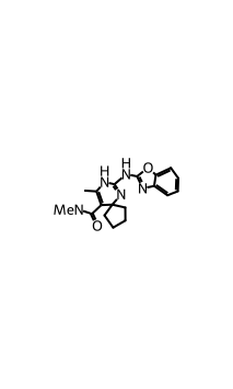 CNC(=O)C1=C(C)NC(Nc2nc3ccccc3o2)=NC12CCCC2